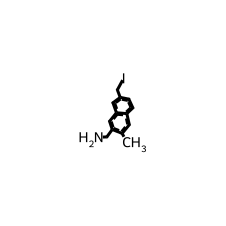 Cc1cc2ccc(CI)cc2cc1CN